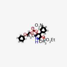 CCOC(=O)OC1=C(C)NC(C)=C(OC(=O)OCCOc2ccccc2)C1c1cccc([N+](=O)[O-])c1